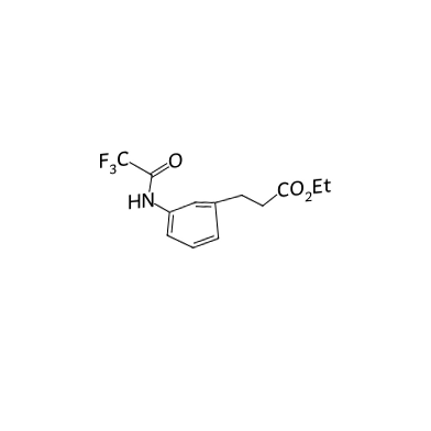 CCOC(=O)CCc1cccc(NC(=O)C(F)(F)F)c1